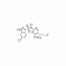 COc1nc(NS(=O)(=O)c2n[nH]c3cc(Cl)ccc23)ncc1CCCF